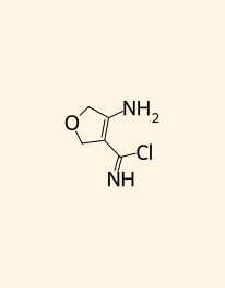 N=C(Cl)C1=C(N)COC1